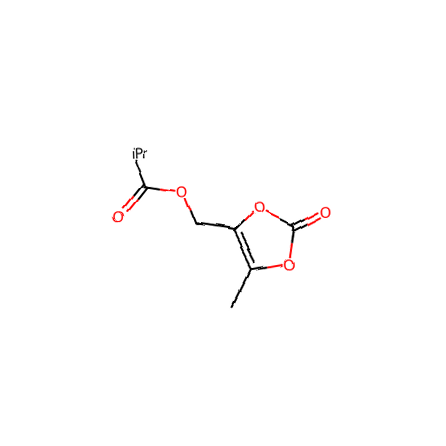 Cc1oc(=O)oc1COC(=O)C(C)C